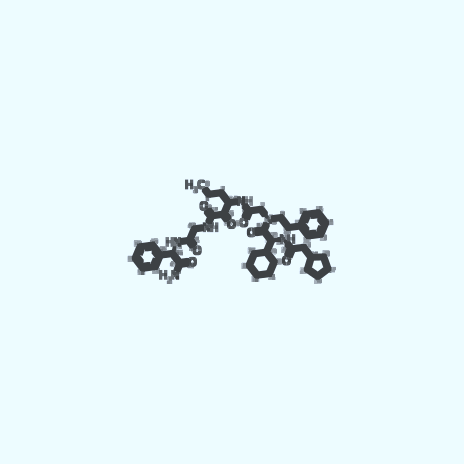 CCCC(NC(=O)CN(CCc1ccccc1)C(=O)[C@@H](NC(=O)CC1CCCC1)C1CCCCC1)C(=O)C(=O)NCC(=O)N[C@H](C(N)=O)c1ccccc1